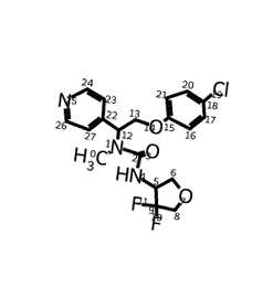 CN(C(=O)NC1COCC1(F)F)C(COc1ccc(Cl)cc1)c1ccncc1